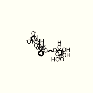 COc1cc(OC)nc(NC(=O)NS(=O)(=O)c2ccccc2OCCCO[C@H]2O[C@@H](C(=O)O)[C@H](O)[C@@H](O)[C@@H]2O)n1